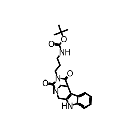 CC(C)(C)OC(=O)NCCCN1C(=O)C2CN(Cc3[nH]c4ccccc4c32)C1=O